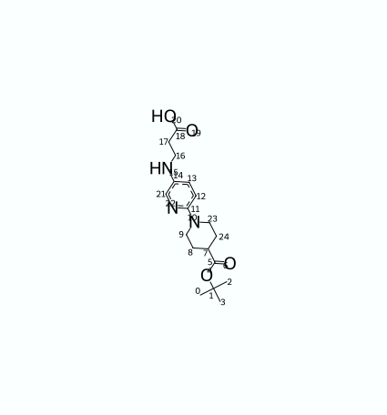 CC(C)(C)OC(=O)C1CCN(c2ccc(NCCC(=O)O)cn2)CC1